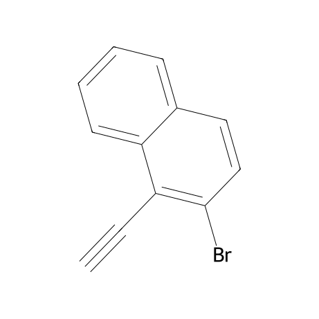 C#Cc1c(Br)ccc2ccccc12